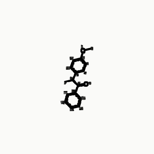 COc1ccc(C(C)C(=O)c2ccccc2)cc1